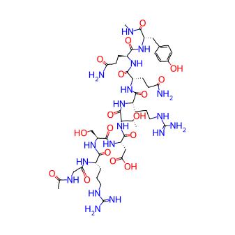 CNC(=O)[C@H](Cc1ccc(O)cc1)NC(=O)[C@H](CCC(N)=O)NC(=O)[C@H](CCC(N)=O)NC(=O)[C@H](CCCNC(=N)N)NC(=O)[C@@H](NC(=O)[C@H](CC(=O)O)NC(=O)[C@H](CO)NC(=O)[C@H](CCCNC(=N)N)NC(=O)CNC(C)=O)[C@@H](C)O